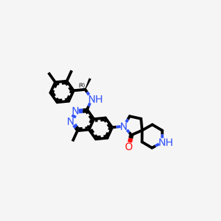 Cc1cccc([C@@H](C)Nc2nnc(C)c3ccc(N4CCC5(CCNCC5)C4=O)cc23)c1C